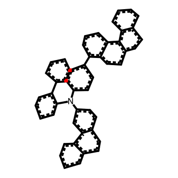 c1ccc(-c2ccccc2N(c2ccc(-c3cccc4c3ccc3ccc5ccccc5c34)cc2)c2ccc3ccc4ccccc4c3c2)cc1